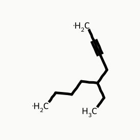 [CH2]C#CCC(CC)CCC[CH2]